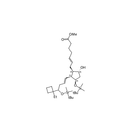 CCC1(C(CC=C[C@H]2[C@@H](CC=CCCCC(=O)OC)[C@H](O)C[C@H]2O[Si](C)(C)C(C)(C)C)O[Si](C)(C)C(C)(C)C)CCC1